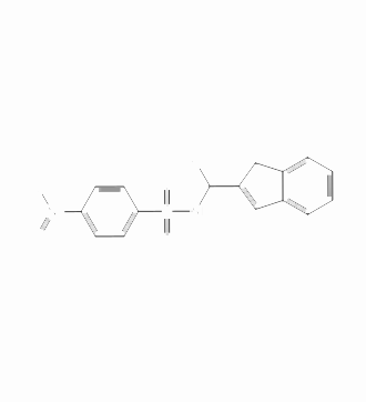 CC(NS(=O)(=O)c1ccc([N+](=O)[O-])cc1)C1=Cc2ccccc2C1